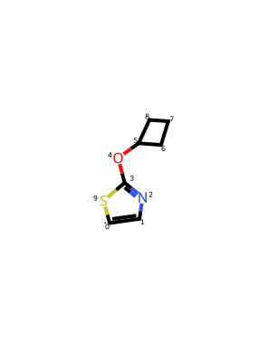 [c]1cnc(OC2CCC2)s1